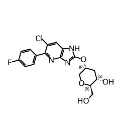 OC[C@H]1OC[C@H](Oc2nc3nc(-c4ccc(F)cc4)c(Cl)cc3[nH]2)C[C@@H]1O